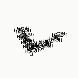 O=C(O)c1cc(=O)[nH]c(=O)[nH]1.O=C(O)c1cc(=O)[nH]c(=O)[nH]1.O=C(O)c1cc(=O)[nH]c(=O)[nH]1.O=C(O)c1cc(=O)[nH]c(=O)[nH]1.O=C(O)c1cc(=O)[nH]c(=O)[nH]1.O=C(O)c1cc(=O)[nH]c(=O)n1[C@@H]1O[C@H](CO)[C@@H](O)[C@H]1O.O=C(O)c1cc(=O)[nH]c(=O)n1[C@@H]1O[C@H](CO)[C@@H](O)[C@H]1O.O=C(O)c1cc(=O)[nH]c(=O)n1[C@@H]1O[C@H](CO)[C@@H](O)[C@H]1O.O=C(O)c1cc(=O)[nH]c(=O)n1[C@@H]1O[C@H](CO)[C@@H](O)[C@H]1O